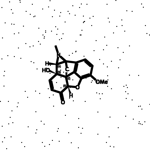 COc1ccc2c3c1O[C@H]1C(=O)C=C[C@@]4(O)[C@@H]5N(C)C25C[C@]314